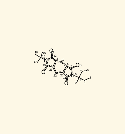 CCC(C)(CC)n1c(=O)c2cc3c(=O)n(C(C)(C)C)c(=O)c3cc2c1=O